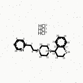 Cl.Cl.Cl.c1ccc(CCN2CCN(C3CCSc4ccccc43)CC2)nc1